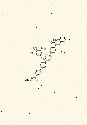 CCCCCCOC(=O)c1ccc(N2CCN(C(=O)[C@@H](Cc3cc(Cl)c(N)c(C(F)(F)F)c3)OC(=O)N3CCC(c4cc5ccccc5[nH]c4=O)CC3)CC2)cc1